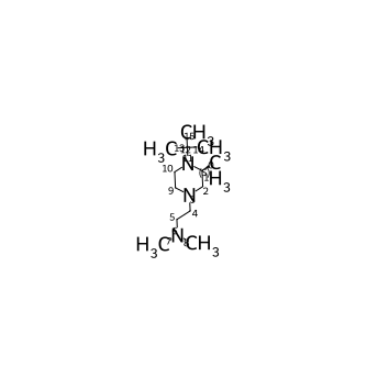 C[C@H]1CN(CCN(C)C)CCN1C(C)(C)C